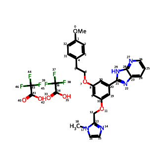 COc1ccc(CCOc2cc(OCc3nccn3C)cc(-c3nc4cccnc4[nH]3)c2)cc1.O=C(O)C(F)(F)F.O=C(O)C(F)(F)F